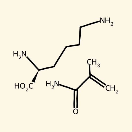 C=C(C)C(N)=O.NCCCC[C@H](N)C(=O)O